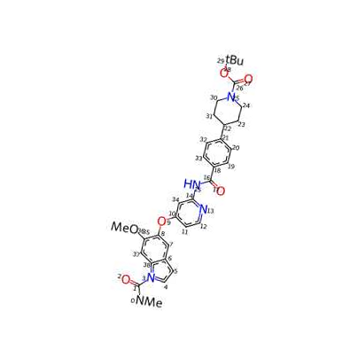 CNC(=O)n1ccc2cc(Oc3ccnc(NC(=O)c4ccc(C5CCN(C(=O)OC(C)(C)C)CC5)cc4)c3)c(OC)cc21